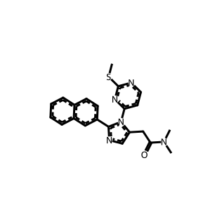 CSc1nccc(-n2c(CC(=O)N(C)C)cnc2-c2ccc3ccccc3c2)n1